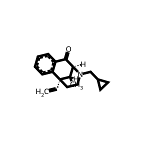 C=C[C@]12CCN(CC3CC3)[C@H](C(=O)c3ccccc31)[C@@H]2C